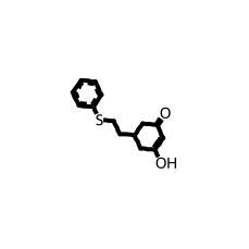 O=C1C=C(O)CC(CCSc2ccccc2)C1